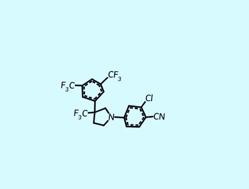 N#Cc1ccc(N2CCC(c3cc(C(F)(F)F)cc(C(F)(F)F)c3)(C(F)(F)F)C2)cc1Cl